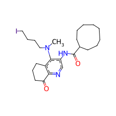 CN(CCCCI)c1c(NC(=O)C2CCCCCCCC2)cnc2c1CCCC2=O